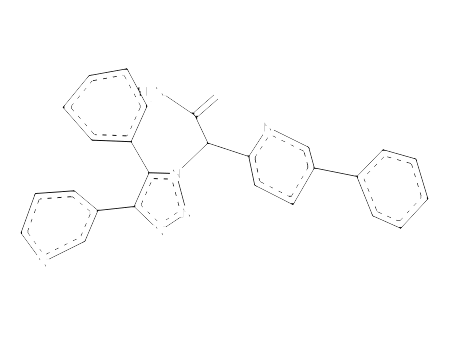 NC(=O)C(c1ccc(-c2ccccc2)cn1)n1nnc(-c2cccnc2)c1-c1ccccc1